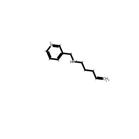 C=CCCCNCc1cccnc1